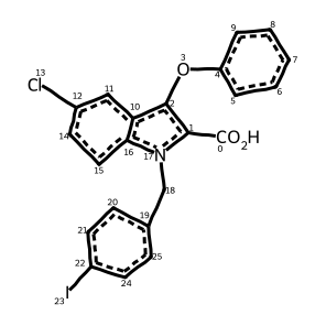 O=C(O)c1c(Oc2ccccc2)c2cc(Cl)ccc2n1Cc1ccc(I)cc1